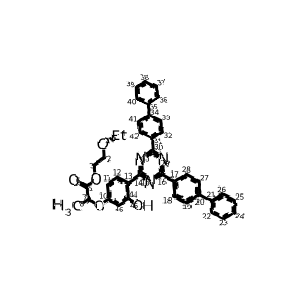 CCOCCOC(=O)C(C)Oc1ccc(-c2nc(-c3ccc(-c4ccccc4)cc3)nc(-c3ccc(-c4ccccc4)cc3)n2)c(O)c1